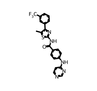 Cc1sc(NC(=O)c2ccc(Nc3ccncn3)cc2)nc1-c1cccc(C(F)(F)F)c1